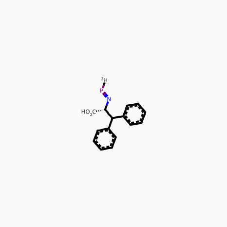 [3H]/P=N/[C@@H](C(=O)O)C(c1ccccc1)c1ccccc1